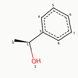 [CH2][C@H](O)c1ccccc1